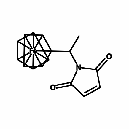 CC(N1C(=O)C=CC1=O)[C]12[CH]3[CH]4[CH]5[CH]1[Fe]45321678[CH]2[CH]1[CH]6[CH]7[CH]28